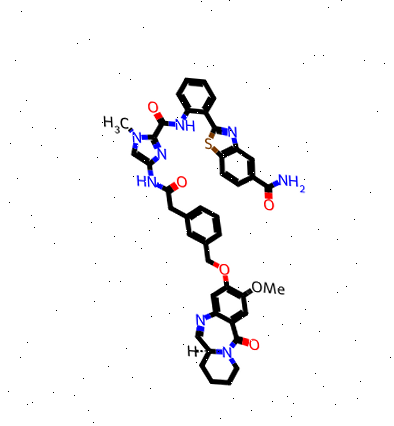 COc1cc2c(cc1OCc1cccc(CC(=O)Nc3cn(C)c(C(=O)Nc4ccccc4-c4nc5cc(C(N)=O)ccc5s4)n3)c1)N=C[C@@H]1CCCCN1C2=O